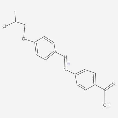 CC(Cl)COc1ccc(/N=N/c2ccc(C(=O)O)cc2)cc1